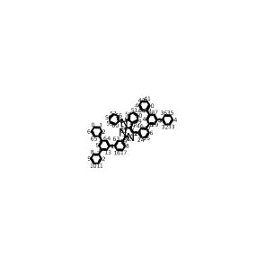 c1ccc(-c2cc(-c3ccccc3)cc(-c3cccc(-c4nc(-c5cccc(-c6cc(-c7ccccc7)cc(-c7ccccc7)c6)c5)c5c6ccccc6n(-c6ccccc6)c5n4)c3)c2)cc1